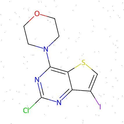 Clc1nc(N2CCOCC2)c2scc(I)c2n1